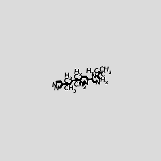 CC(C)(C)c1cncc(-c2ccc(C(C)(C)CCC(C)(C)c3ccnnc3)nn2)n1